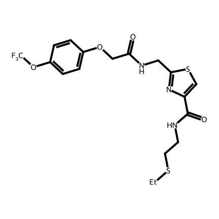 CCSCCNC(=O)c1csc(CNC(=O)COc2ccc(OC(F)(F)F)cc2)n1